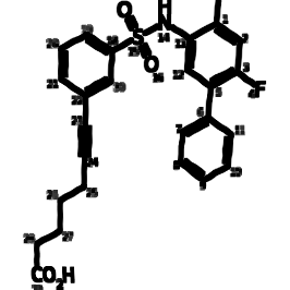 Cc1cc(F)c(-c2ccccc2)cc1NS(=O)(=O)c1cccc(C#CCCCCC(=O)O)c1